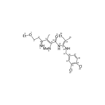 CCOCCC(=N)/C(C)=C(\NC)C(=O)N/C(NCc1ccc(Cl)c(Cl)c1)=C(/C)CC